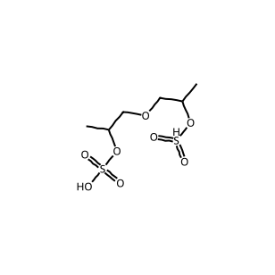 CC(COCC(C)OS(=O)(=O)O)O[SH](=O)=O